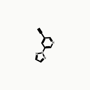 C#Cc1cncc(-n2nccn2)c1